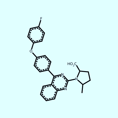 CC1CCC(C(=O)O)N1c1nc(-c2ccc(Oc3ccc(F)cc3)cc2)c2ccccc2n1